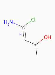 CC(O)/C=C(/N)Cl